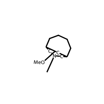 COC1CC2CCCCC1CN(C)C2